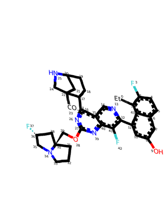 CCc1c(F)ccc2cc(O)cc(-c3ncc4c(C5CCC6CC5(C(=O)O)CN6)nc(OC[C@@]56CCCN5C[C@H](F)C6)nc4c3F)c12